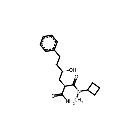 CN(C(=O)[C@H](C[C@@H](O)[CH]Cc1ccccc1)C(N)=O)C1CCC1